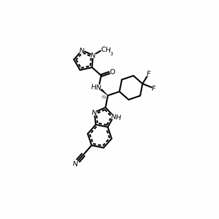 Cn1nccc1C(=O)N[C@H](c1nc2cc(C#N)ccc2[nH]1)C1CCC(F)(F)CC1